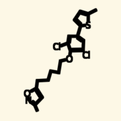 Cc1cc(CCCCCOc2c(Cl)cc(-c3ccc(C)s3)cc2Cl)on1